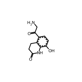 NCC(=O)c1ccc(O)c2c1CCC(=O)N2